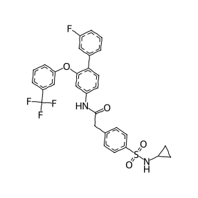 O=C(Cc1ccc(S(=O)(=O)NC2CC2)cc1)Nc1ccc(-c2cccc(F)c2)c(Oc2cccc(C(F)(F)F)c2)c1